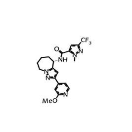 COc1cc(-c2cc3n(n2)CCCC[C@@H]3NC(=O)c2cc(C(F)(F)F)nn2C)ccn1